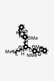 CNc1cc(OCc2cc(COc3cc4c(cc3OC)C(=O)N3c5ccccc5C[C@H]3C=N4)cc(NC(=O)CC[C@@H](C)SC)c2)c(OC)cc1C(=O)N1CCc2ccccc21